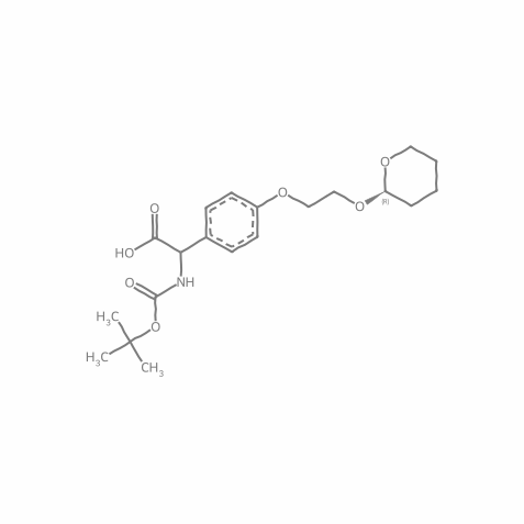 CC(C)(C)OC(=O)NC(C(=O)O)c1ccc(OCCO[C@@H]2CCCCO2)cc1